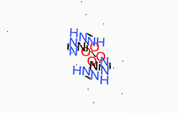 O=C([O][Ni]([c]1ncc[nH]1)[c]1ncc[nH]1)C(=O)[O][Ni]([c]1ncc[nH]1)[c]1ncc[nH]1